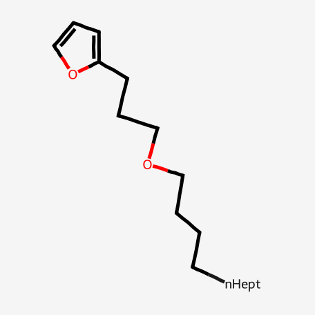 CCCCCCCCCCCOCCCc1ccco1